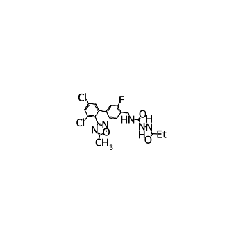 CCC(=O)NNC(=O)NCc1ccc(-c2cc(Cl)cc(Cl)c2-c2noc(C)n2)cc1F